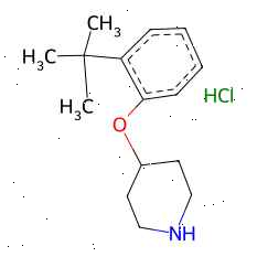 CC(C)(C)c1ccccc1OC1CCNCC1.Cl